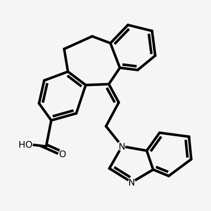 O=C(O)c1ccc2c(c1)C(=CCn1cnc3ccccc31)c1ccccc1CC2